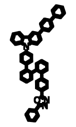 c1ccc(-c2ccc(-c3ccc4c(c3)c3ccccc3n4-c3ccc(-c4ccccc4-c4ccccc4-c4ccc(-c5nnc(-c6ccccc6)o5)cc4)cc3)cc2)cc1